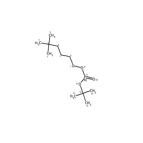 CC(C)(C)CCCOO[PH](=O)OC(C)(C)C